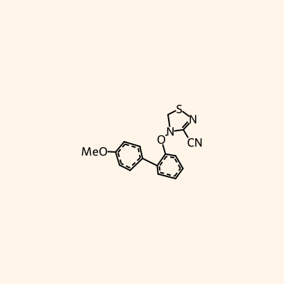 COc1ccc(-c2ccccc2ON2CSN=C2C#N)cc1